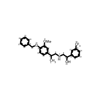 COc1cc(C(C)CNCC(O)c2cccc(C(F)(F)F)c2)ccc1OCc1ccccc1